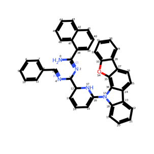 N/C(=N\C(/N=C/c1ccccc1)C1C=CC=C(n2c3ccccc3c3ccc4c5ccccc5oc4c32)N1)c1cccc2ccccc12